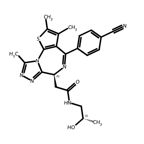 Cc1sc2c(c1C)C(c1ccc(C#N)cc1)=N[C@@H](CC(=O)NC[C@H](C)O)c1nnc(C)n1-2